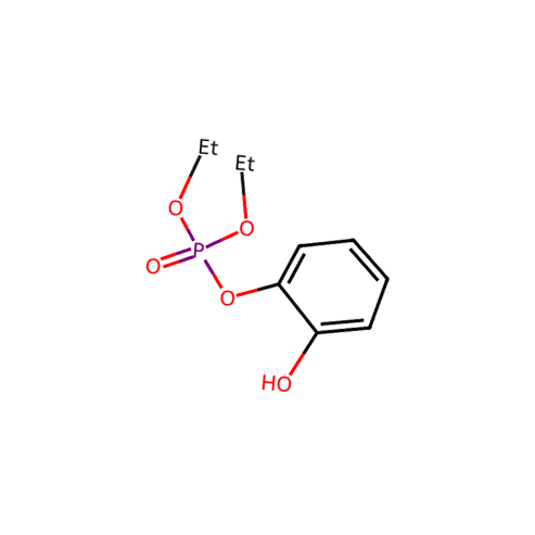 CCOP(=O)(OCC)Oc1ccccc1O